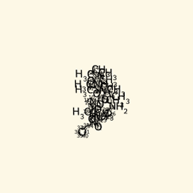 CC[C@H](C)C([C@@H](CC(=O)N1CCC[C@H]1[C@H](OC)[C@@H](C)C(=O)N[C@@H](Cc1ccc(N)cc1)C(=O)NCCc1ccccc1)OC)N(C)C(=O)C(NC(=O)C(C(C)C)N(C)C)C(C)C